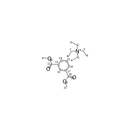 CC[N+](CC)(CC)CC.COC(=O)c1cccc(C(=O)OC)c1